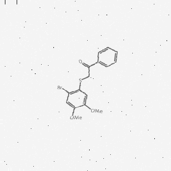 COc1cc(Br)c(SCC(=O)c2ccccc2)cc1OC